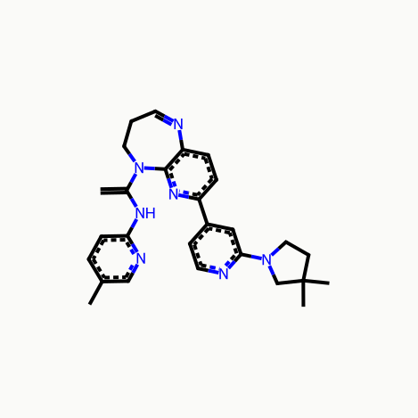 C=C(Nc1ccc(C)cn1)N1CCC=Nc2ccc(-c3ccnc(N4CCC(C)(C)C4)c3)nc21